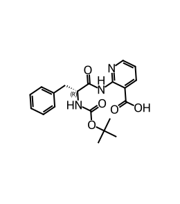 CC(C)(C)OC(=O)N[C@H](Cc1ccccc1)C(=O)Nc1ncccc1C(=O)O